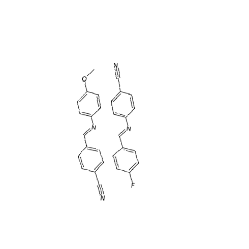 COc1ccc(N=Cc2ccc(C#N)cc2)cc1.N#Cc1ccc(N=Cc2ccc(F)cc2)cc1